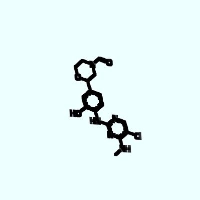 CNc1nc(Nc2ccc(C3CN(C=O)CCO3)cc2O)ncc1Cl